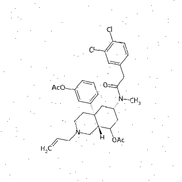 C=CCN1CC[C@@]2(c3cccc(OC(C)=O)c3)C[C@H](N(C)C(=O)Cc3ccc(Cl)c(Cl)c3)CC(OC(C)=O)[C@@H]2C1